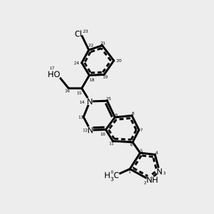 Cc1[nH]ncc1-c1ccc2c(c1)=NCN(C(CO)c1cccc(Cl)c1)C=2